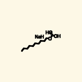 CCCCCCCCCCOP(O)O.[NaH]